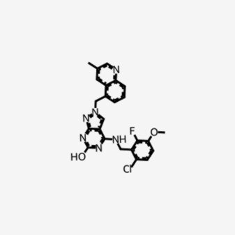 COc1ccc(Cl)c(CNc2nc(O)nc3nn(Cc4cccc5ncc(C)cc45)cc23)c1F